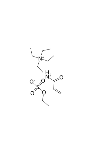 C=CC(N)=O.CCOS(=O)(=O)[O-].CC[N+](CC)(CC)CC